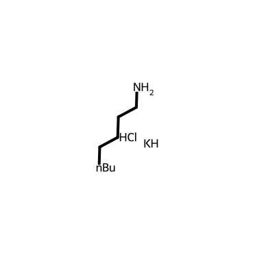 CCCCCCCCN.Cl.[KH]